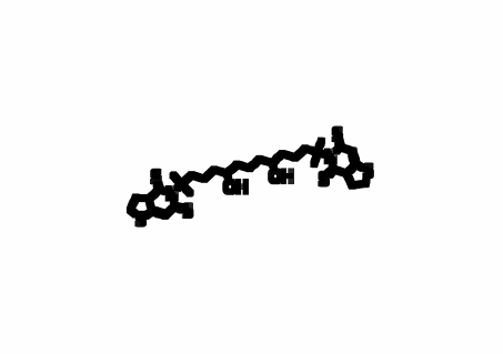 CC(C)(CCCC(O)CCCC(O)CCCC(C)(C)N1C(=S)C=C2SCCC2C1=S)N1C(=S)C=C2SCCC2C1=S